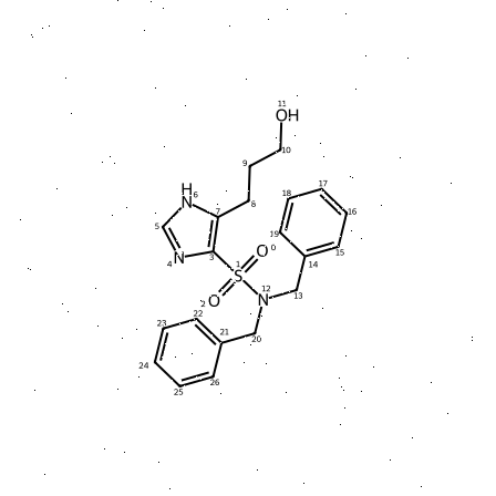 O=S(=O)(c1nc[nH]c1CCCO)N(Cc1ccccc1)Cc1ccccc1